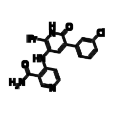 CC(C)c1[nH]c(=O)c(-c2cccc(Cl)c2)cc1Nc1ccncc1C(N)=O